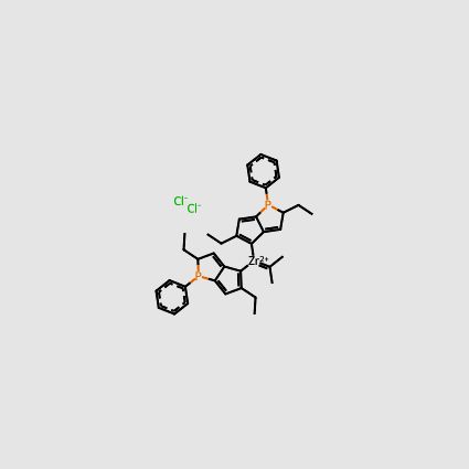 CCC1=[C]([Zr+2]([C]2=C(CC)C=C3C2=CC(CC)P3c2ccccc2)=[C](C)C)C2=CC(CC)P(c3ccccc3)C2=C1.[Cl-].[Cl-]